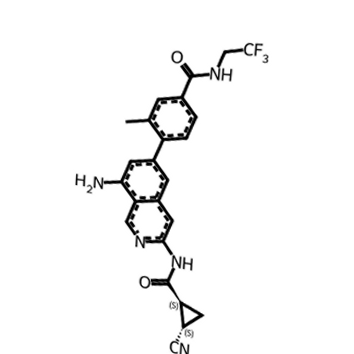 Cc1cc(C(=O)NCC(F)(F)F)ccc1-c1cc(N)c2cnc(NC(=O)[C@H]3C[C@@H]3C#N)cc2c1